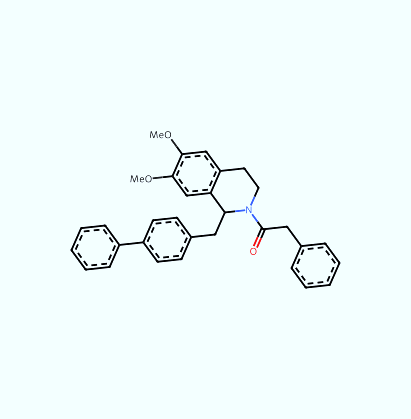 COc1cc2c(cc1OC)C(Cc1ccc(-c3ccccc3)cc1)N(C(=O)Cc1ccccc1)CC2